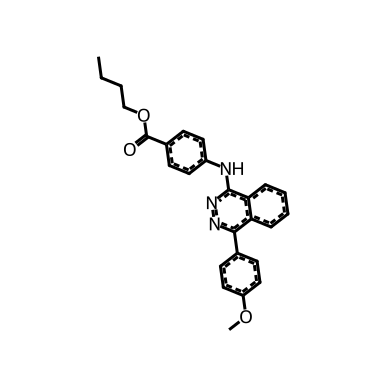 CCCCOC(=O)c1ccc(Nc2nnc(-c3ccc(OC)cc3)c3ccccc23)cc1